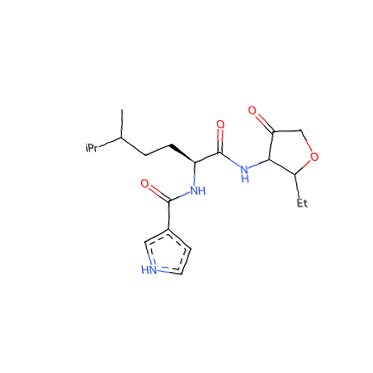 CCC1OCC(=O)C1NC(=O)[C@H](CCC(C)C(C)C)NC(=O)c1cc[nH]c1